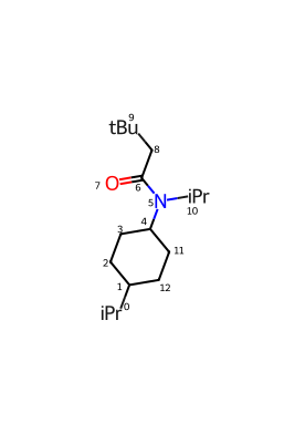 CC(C)C1CCC(N(C(=O)CC(C)(C)C)C(C)C)CC1